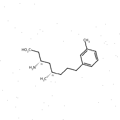 Cc1cccc(CCC[C@H](C)C[C@H](N)CC(=O)O)c1